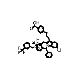 O=C(O)c1ccc(CCCc2c(CCNS(=O)(=O)Cc3cccc(C(F)(F)F)c3)n(C(c3ccccc3)c3ccccc3)c3cc(Cl)ccc23)cc1